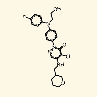 O=c1c(Cl)c(NCC2CCCOC2)cnn1-c1ccc(N(CCO)c2ccc(F)cc2)cc1